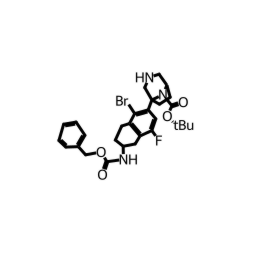 CC(C)(C)OC(=O)N1C2CCC1(c1cc(F)c3c(c1Br)CCC(NC(=O)OCc1ccccc1)C3)CNC2